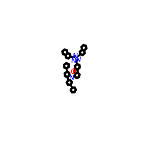 c1ccc(-c2ccc3c4ccc(-c5ccccc5)cc4n(-c4cccc5c4oc4cc(-c6nc(-c7ccc8ccccc8c7)nc(-c7ccc8ccccc8c7)n6)ccc45)c3c2)cc1